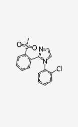 CS(=O)(=O)c1ccccc1-c1nccn1-c1ccccc1Cl